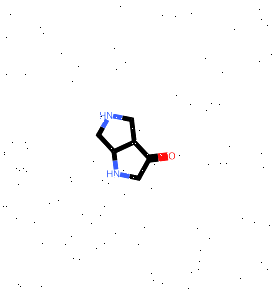 O=C1CNC2CNCC12